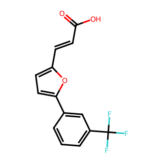 O=C(O)C=Cc1ccc(-c2cccc(C(F)(F)F)c2)o1